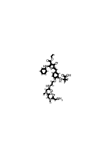 CCOC(=O)C1=C(Nc2ccccc2)S/C(=C\c2ccc(OCCNC(=O)CN(C)C(=O)CN(C)C(=O)CN)c(O)c2)C1=O.O=C(O)C(F)(F)F